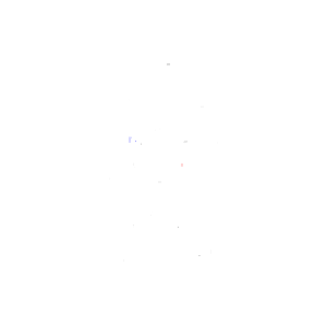 CC(F)(F)C1=C(F)CCC(NC(C(O)O)C(C)(C)C)C1